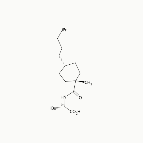 CCC(C)[C@H](NC(=O)[C@]1(C)CC[C@H](CCCC(C)C)CC1)C(=O)O